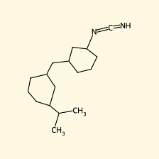 CC(C)C1CCCC(CC2CCCC(N=C=N)C2)C1